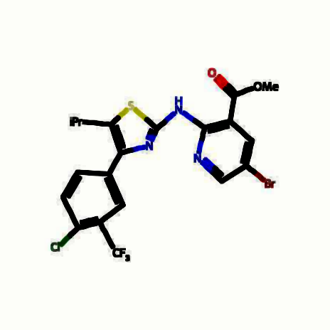 COC(=O)c1cc(Br)cnc1Nc1nc(-c2ccc(Cl)c(C(F)(F)F)c2)c(C(C)C)s1